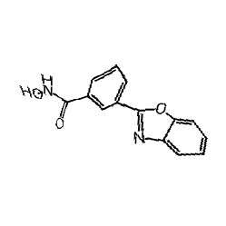 O=C(NO)c1cccc(-c2nc3ccccc3o2)c1